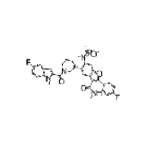 CNC(=O)c1c(-c2ccc(F)cc2)oc2cc(N(C)[S@+](C)[O-])c([C@H]3CCCN(C(=O)c4cc5cc(F)ccc5n4C)C3)cc12